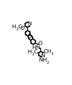 COc1ccncc1-c1ccc2c(c1)c1oc2c2ccc(C(=O)NCc3c(C)cc(N)nc3C)cc21